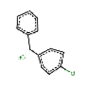 Cl.Clc1ccc(Cc2ccccc2)cc1